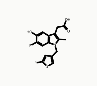 Cc1c(CC(=O)O)c2cc(O)c(F)cc2n1Cc1csc(F)c1